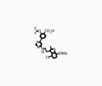 COc1ccc(Cl)c2c(CCNc3cc(-c4ccc(C(=O)O)c(OC(F)F)c4)ncn3)c(C)sc12